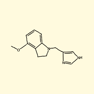 COc1cccc2c1CCN2Cc1c[nH]cn1